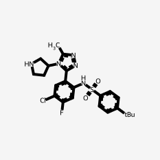 Cc1nnc(-c2cc(Cl)c(F)cc2NS(=O)(=O)c2ccc(C(C)(C)C)cc2)n1C1CCNC1